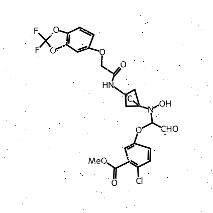 COC(=O)c1cc(OC(C=O)N(O)C23CC(NC(=O)COc4ccc5c(c4)OC(F)(F)O5)(C2)C3)ccc1Cl